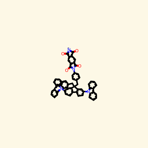 Cc1ccc(CC2(Cc3ccc(-n4c(=O)c5cc6c(=O)n(C)c(=O)c6cc5c4=O)cc3)c3cc(-n4c5ccccc5c5ccccc54)ccc3-c3ccc(-n4c5ccccc5c5ccccc54)cc32)cc1